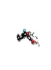 COC1CCC(OC)(c2cc(F)cc(Cc3ccccc3)c2)CC1